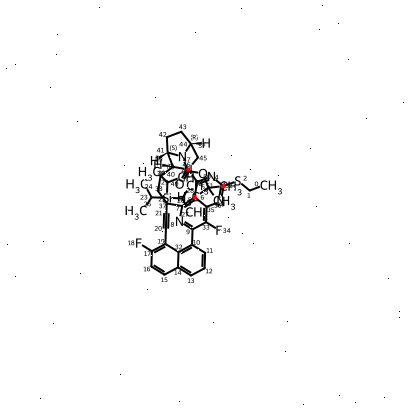 CCSc1nc2c3c(nc(-c4cccc5ccc(F)c(C#C[Si](C(C)C)(C(C)C)C(C)C)c45)c(F)c3n1)CCC[C@@H]1[C@@H]3CC[C@H](CN21)N3C(=O)OC(C)(C)C